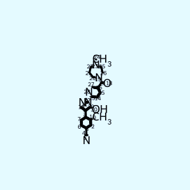 Cc1cc(C#N)ccc1-c1cnn(-c2ccc(C(=O)N3CCCN(C)CC3)cn2)c1O